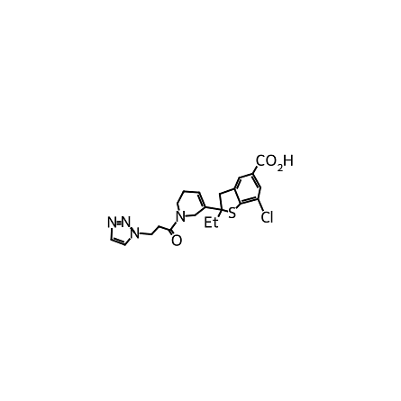 CCC1(C2=CCCN(C(=O)CCn3ccnn3)C2)Cc2cc(C(=O)O)cc(Cl)c2S1